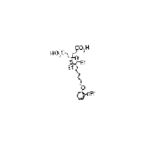 CCCc1ccccc1OCCCCSCC1(CC)SC(CCC(=O)O)(CCC(=O)O)OC1CC